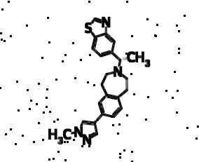 C[C@@H](c1ccc2scnc2c1)N1CCc2ccc(-c3cnn(C)c3)cc2CC1